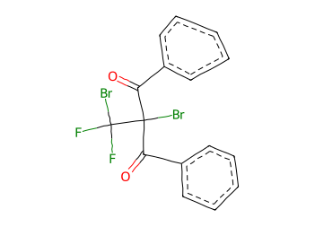 O=C(c1ccccc1)C(Br)(C(=O)c1ccccc1)C(F)(F)Br